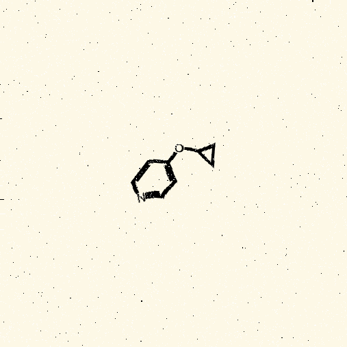 c1cc(OC2CC2)ccn1